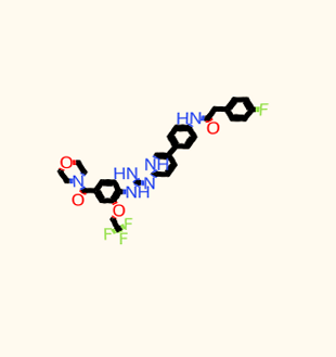 N=C(/N=c1/ccc(-c2ccc(NC(=O)Cc3ccc(F)cc3)cc2)c[nH]1)Nc1ccc(C(=O)N2CCOCC2)cc1OCC(F)(F)F